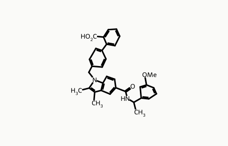 COc1cccc(C(C)NC(=O)c2ccc3c(c2)c(C)c(C)n3Cc2ccc(-c3ccccc3C(=O)O)cc2)c1